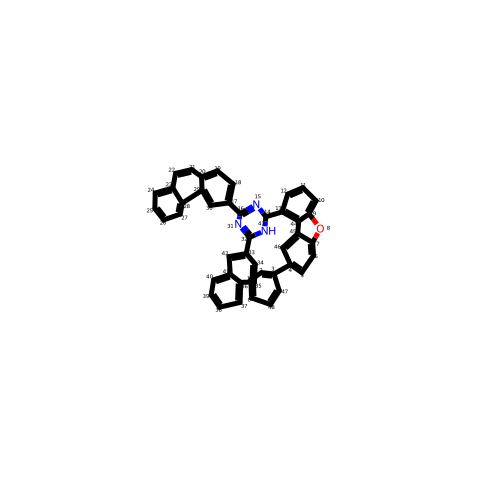 c1ccc(-c2ccc3oc4cccc(C5N=C(c6ccc7ccc8ccccc8c7c6)N=C(c6ccc7ccccc7c6)N5)c4c3c2)cc1